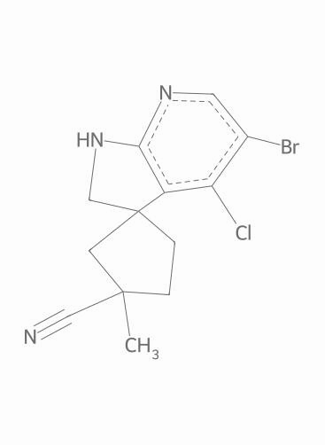 CC1(C#N)CCC2(CNc3ncc(Br)c(Cl)c32)C1